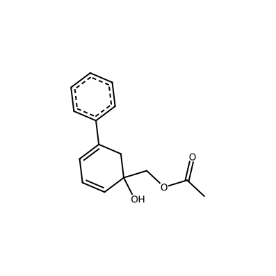 CC(=O)OCC1(O)C=CC=C(c2ccccc2)C1